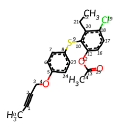 CC#CCOc1ccc(Sc2c(OC(C)=O)ccc(Cl)c2CC)cc1